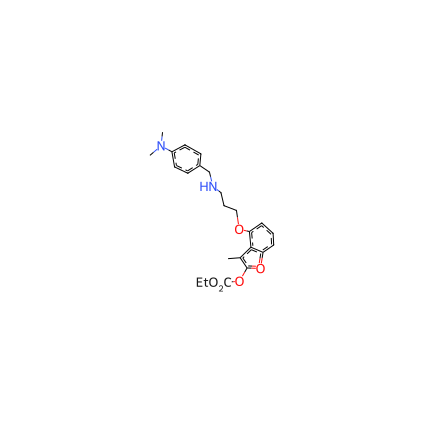 CCOC(=O)Oc1oc2cccc(OCCCNCc3ccc(N(C)C)cc3)c2c1C